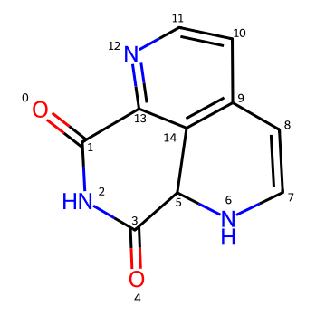 O=C1NC(=O)C2NC=Cc3ccnc1c32